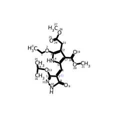 CCOc1[nH]c(/C=C2/C(=O)NN=C2OC(C)C)c(C(=O)OC)c1CC(=O)OC